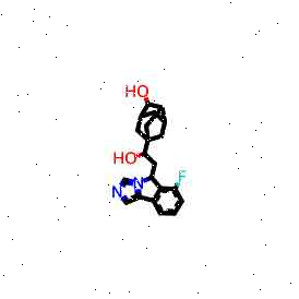 OC1C2CC3CC(C(O)CC4c5c(F)cccc5-c5cncn54)(C2)CC31